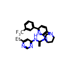 C=C(Nc1cc(CC)ncn1)N1c2nc(-c3cccc(C(F)(F)F)c3)ccc2N2CCC1CC2